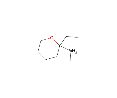 [CH2]CC1([SiH2]C)CCCCO1